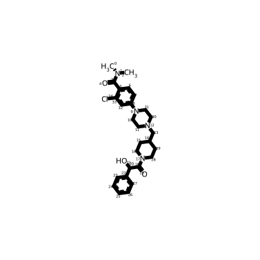 CN(C)C(=O)c1ccc(N2CCN(CC3CCN(C(=O)C(O)c4ccccc4)CC3)CC2)cc1Cl